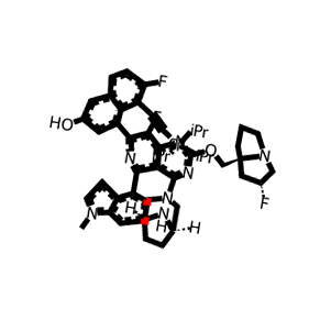 CC(C)[Si](C#Cc1c(F)ccc2cc(O)cc(-c3nc(-c4cccc5c4ccn5C)c4c(N5C[C@H]6CC[C@@H](C5)N6)nc(OC[C@@]56CCCN5C[C@H](F)C6)nc4c3F)c12)(C(C)C)C(C)C